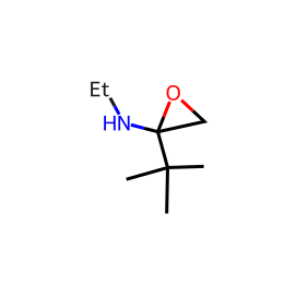 CCNC1(C(C)(C)C)CO1